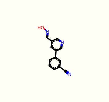 N#Cc1cccc(-c2cncc(C=NO)c2)c1